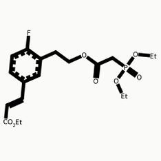 CCOC(=O)/C=C/c1ccc(F)c(CCOC(=O)CP(=O)(OCC)OCC)c1